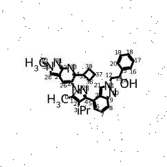 Cc1c(C(C)C)c(-c2cccc3nn(C[C@H](O)c4ccccc4)cc23)nn1-c1cc2cn(C)nc2nc1C1CCC1